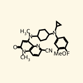 COc1cc(N(C2CCC(N(C)c3cc(=O)n(C)c4ccc(C#N)nc34)CC2)C2CC2)ccc1F